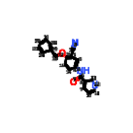 N#Cc1cc(NC(=O)c2cccnc2)ccc1OCc1ccccc1